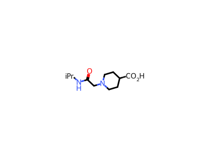 CC(C)NC(=O)CN1CCC(C(=O)O)CC1